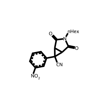 CCCCCCN1C(=O)C2C(C1=O)C2(C#N)c1cccc([N+](=O)[O-])c1